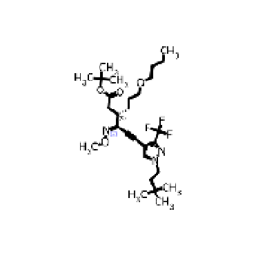 CCCCOCCC[C@@H](CC(=O)OC(C)(C)C)/C(C#Cc1cn(CCC(C)(C)C)nc1C(F)(F)F)=N/OC